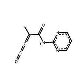 CC(=C=C=O)C(=O)Nc1ncccn1